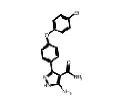 NC(=O)c1c(-c2ccc(Oc3ccc(Cl)cc3)cc2)n[nH]c1N